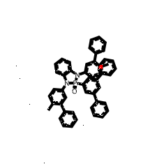 Cc1ccc(N2c3ccccc3N(c3ccc(C)c(-c4ccccc4)c3)P2(=O)c2cc(-c3ccccc3)cc(-c3ccccc3)c2)cc1-c1ccccc1